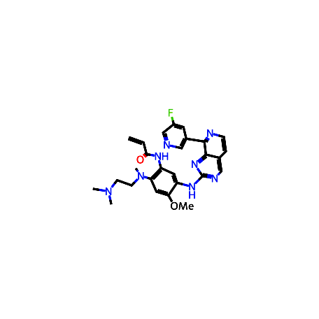 C=CC(=O)Nc1cc(Nc2ncc3ccnc(-c4cncc(F)c4)c3n2)c(OC)cc1N(C)CCN(C)C